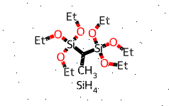 CCO[Si](OCC)(OCC)C(C)[Si](OCC)(OCC)OCC.[SiH4]